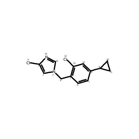 Clc1cn(Cc2ccc(C3CC3)cc2Cl)cn1